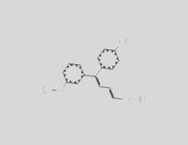 CCOc1cccc(C(=CC=CC(=O)O)c2ccc(C(F)(F)F)cc2)c1